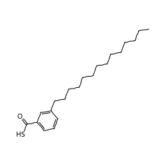 CCCCCCCCCCCCCCc1cccc(C(=O)S)c1